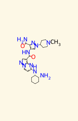 CN1CCC(n2cc(NC(=O)c3cnn4ccc(N[C@H]5CCCC[C@H]5N)nc34)c(C(N)=O)n2)CC1